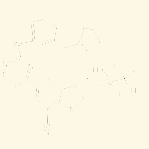 Cc1ccc(CN2CCCC2)cc1Nc1nccc(-c2cc(C#N)c3c(c2)[C@@](C)(CO[Si](C)(C)C(C)(C)C)CN3)n1